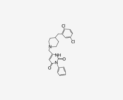 O=c1cc(CN2CCC(Cc3cc(Cl)ccc3Cl)CC2)[nH]c(=O)n1-c1ccccc1